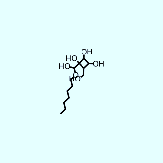 CCCCCCCOC(O)C1(O)C(O)C(O)C1CO